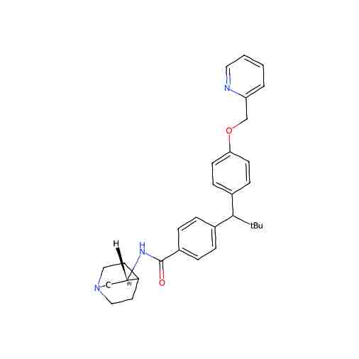 CC(C)(C)C(c1ccc(OCc2ccccn2)cc1)c1ccc(C(=O)N[C@H]2CN3CCC2CC3)cc1